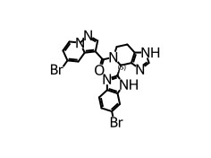 O=C(c1cnn2ccc(Br)cc12)N1CCc2[nH]cnc2[C@H]1c1nc2ccc(Br)cc2[nH]1